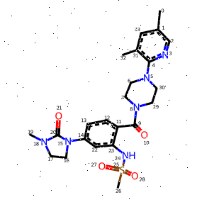 Cc1cnc(N2CCN(C(=O)c3ccc(N4CCN(C)C4=O)cc3NS(C)(=O)=O)CC2)c(C)c1